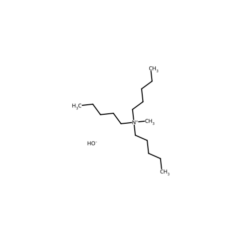 CCCCC[N+](C)(CCCCC)CCCCC.[OH-]